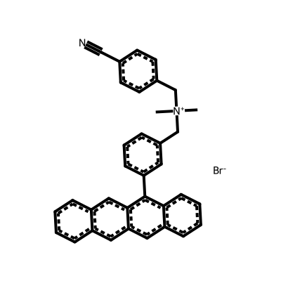 C[N+](C)(Cc1ccc(C#N)cc1)Cc1cccc(-c2c3ccccc3cc3cc4ccccc4cc23)c1.[Br-]